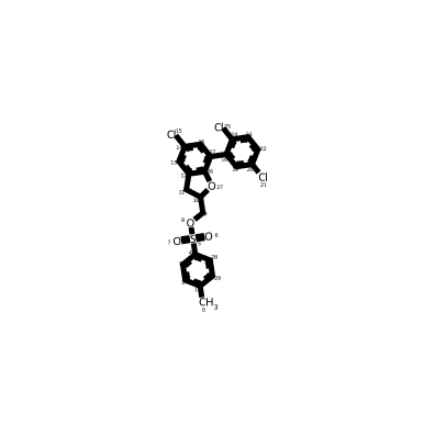 Cc1ccc(S(=O)(=O)OCC2Cc3cc(Cl)cc(-c4cc(Cl)ccc4Cl)c3O2)cc1